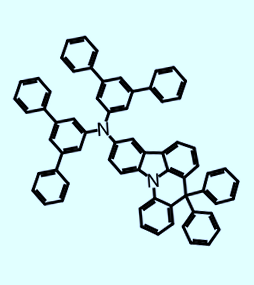 c1ccc(-c2cc(-c3ccccc3)cc(N(c3cc(-c4ccccc4)cc(-c4ccccc4)c3)c3ccc4c(c3)c3cccc5c3n4-c3ccccc3C5(c3ccccc3)c3ccccc3)c2)cc1